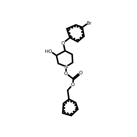 O=C(OCc1ccccc1)ON1CCC(Oc2ccc(Br)cc2)C(O)C1